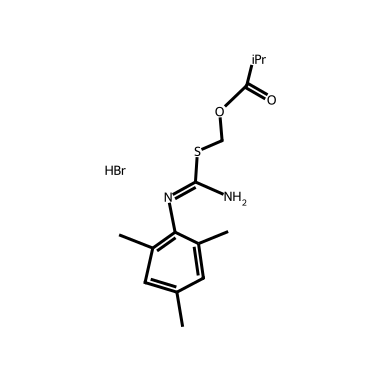 Br.Cc1cc(C)c(/N=C(\N)SCOC(=O)C(C)C)c(C)c1